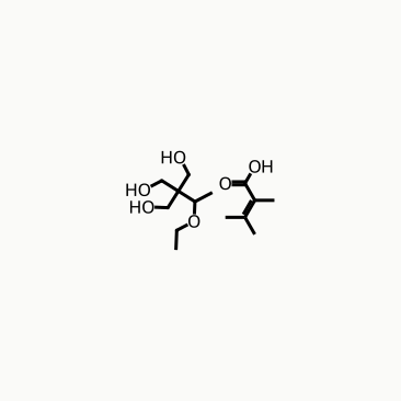 CC(C)=C(C)C(=O)O.CCOC(C)C(CO)(CO)CO